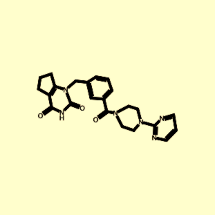 O=C(c1cccc(Cn2c3c(c(=O)[nH]c2=O)CCC3)c1)N1CCN(c2ncccn2)CC1